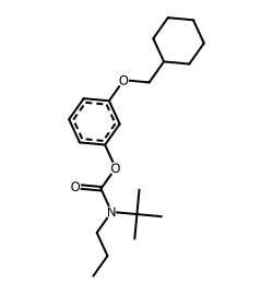 CCCN(C(=O)Oc1cccc(OCC2CCCCC2)c1)C(C)(C)C